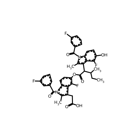 CCC(C)C(C(=O)Oc1ccc2c(c1F)c(CC(=O)O)c(C)n2C(=O)c1cccc(F)c1)c1c(C)n(C(=O)c2cccc(F)c2)c2ccc(O)c(F)c12